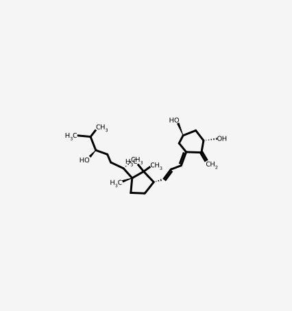 C=C1/C(=C/C=C/[C@@H]2CC[C@](C)([C@@H](C)CC[C@@H](O)C(C)C)C2(C)C)C[C@@H](O)C[C@@H]1O